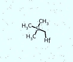 C[Si](C)(C)[CH2][Hf]